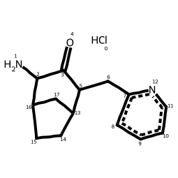 Cl.NC1C(=O)C(Cc2ccccn2)C2CCC1C2